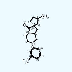 N[C@@H]1CC[C@@]2(CC3CN(c4cc(C(F)(F)F)ccn4)CCN3C2=O)C1